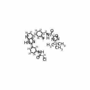 CC(C)(C)c1noc(C(=O)NCc2ccc(-c3ccnc4[nH]c(-c5cccc(NC(=O)CCl)c5)nc34)cc2F)n1